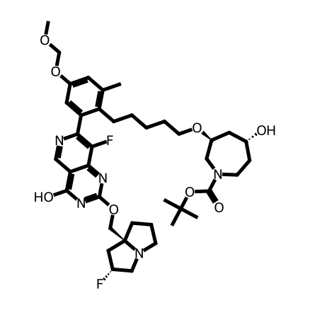 COCOc1cc(C)c(CCCCCO[C@H]2C[C@H](O)CCN(C(=O)OC(C)(C)C)C2)c(-c2ncc3c(O)nc(OC[C@@]45CCCN4C[C@H](F)C5)nc3c2F)c1